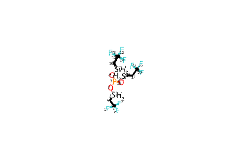 FC(F)(F)C[SiH2]OP(O[SiH2]CC(F)(F)F)O[SiH2]CC(F)(F)F